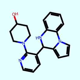 OC1CCN(c2ncccc2C2Nc3ccccc3-n3cccc32)CC1